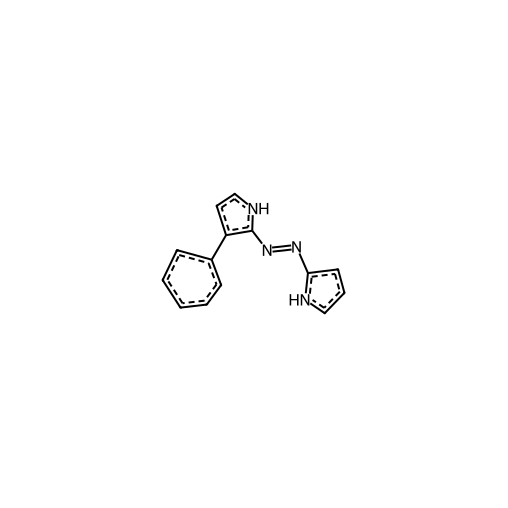 c1ccc(-c2cc[nH]c2N=Nc2ccc[nH]2)cc1